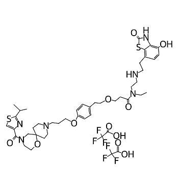 CCN(CCNCCc1ccc(O)c2[nH]c(=O)sc12)C(=O)CCOCCc1ccc(OCCCN2CCC3(CC2)CN(C(=O)c2csc(C(C)C)n2)CCO3)cc1.O=C(O)C(F)(F)F.O=C(O)C(F)(F)F